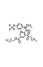 CCOC(=O)c1cnc(C(=O)N(C)c2ccc(SC(F)(F)F)cc2)c(S(=O)(=O)CC)c1